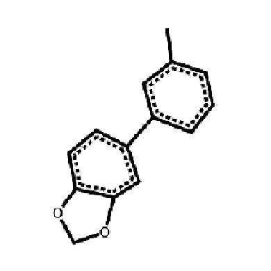 Cc1c[c]cc(-c2ccc3c(c2)OCO3)c1